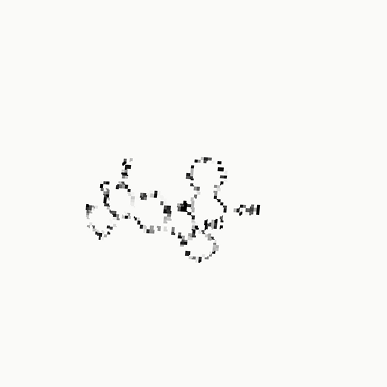 O=c1oc2ccccc2c2cc3c4ccccc4n(-c4ccccc4C(O)O)c3cc12